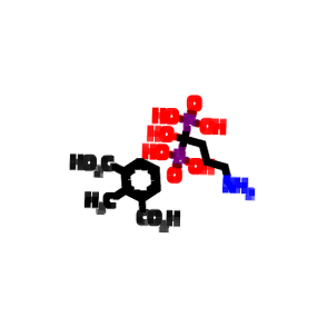 Cc1c(C(=O)O)cccc1C(=O)O.NCCCC(O)(P(=O)(O)O)P(=O)(O)O